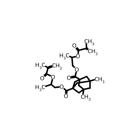 C=C(C)C(=O)OC(C)COC(=O)C12CC3(C)CC(C)(C1)CC(C(=O)OCC(C)OC(=O)C(=C)C)(C3)C2